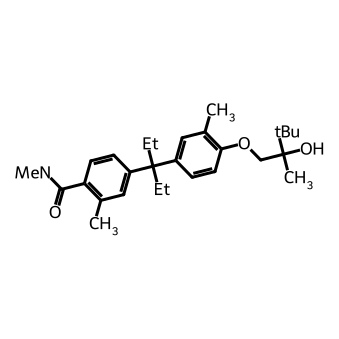 CCC(CC)(c1ccc(OCC(C)(O)C(C)(C)C)c(C)c1)c1ccc(C(=O)NC)c(C)c1